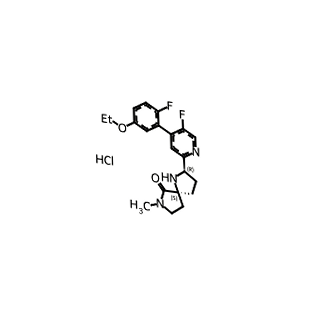 CCOc1ccc(F)c(-c2cc([C@H]3CC[C@@]4(CCN(C)C4=O)N3)ncc2F)c1.Cl